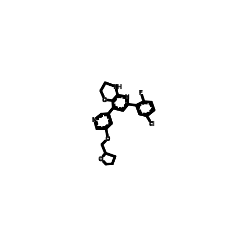 Fc1ccc(Cl)cc1-c1cc(-c2cncc(OCC3CCCO3)c2)c2c(n1)NCCO2